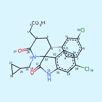 O=C(O)CC1C[C@H](c2cccc(Cl)c2)C2(C(=O)Nc3cc(Cl)ccc32)N(CC2CC2)C1=O